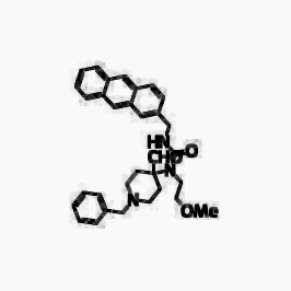 COCCN(C(=O)NCc1ccc2cc3ccccc3cc2c1)C1(C=O)CCN(Cc2ccccc2)CC1